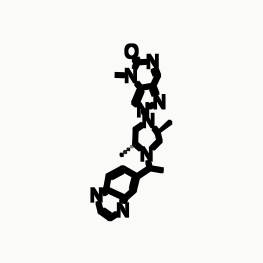 CC(c1ccc2nccnc2c1)N1C[C@H](C)N(n2cc3c(cnc(=O)n3C)n2)C[C@H]1C